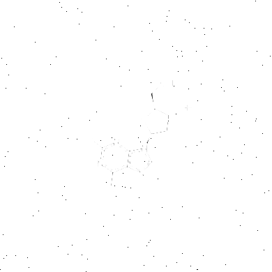 OC[C@@H]1O[C@H](n2cnc3c(Cl)nc(O)nc32)C[C@H]1O